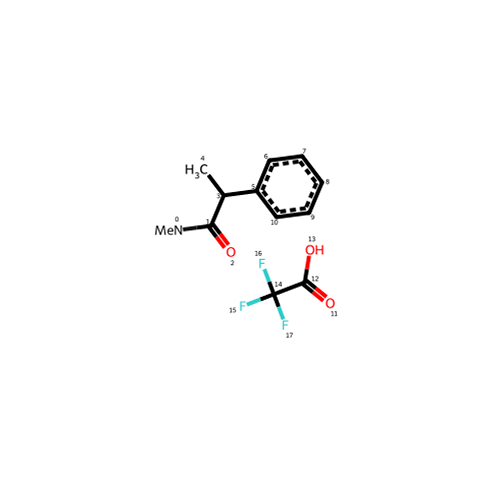 CNC(=O)C(C)c1ccccc1.O=C(O)C(F)(F)F